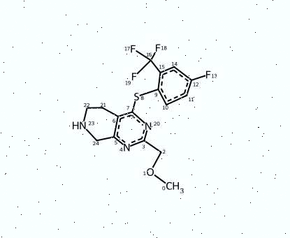 COCc1nc2c(c(Sc3ccc(F)cc3C(F)(F)F)n1)CCNC2